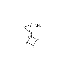 C1CC1.C1CNC1.N